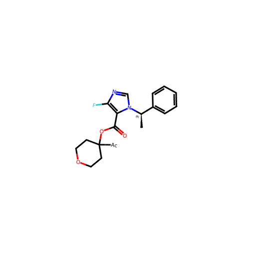 CC(=O)C1(OC(=O)c2c(F)ncn2[C@H](C)c2ccccc2)CCOCC1